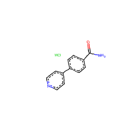 Cl.NC(=O)c1ccc(-c2ccncc2)cc1